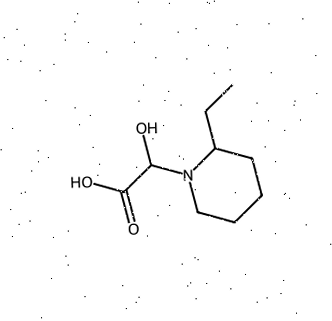 CCC1CCCCN1C(O)C(=O)O